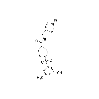 Cc1cc(C)cc(S(=O)(=O)N2CCC(C(=O)NCc3ccc(Br)cc3)CC2)c1